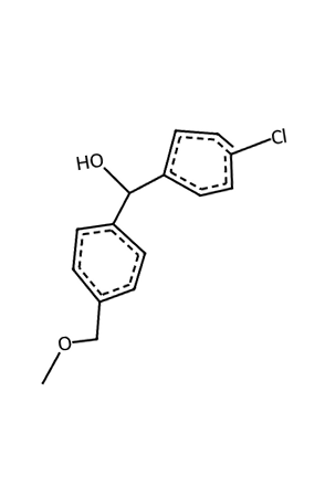 COCc1ccc(C(O)c2ccc(Cl)cc2)cc1